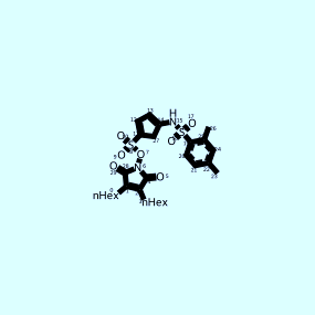 CCCCCCC1=C(CCCCCC)C(=O)N(OS(=O)(=O)C2=CC=C(NS(=O)(=O)c3ccc(C)cc3C)C2)C1=O